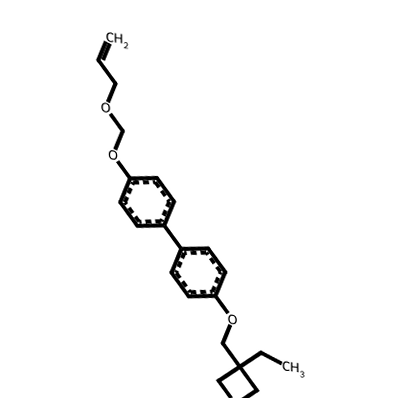 C=CCOCOc1ccc(-c2ccc(OCC3(CC)COC3)cc2)cc1